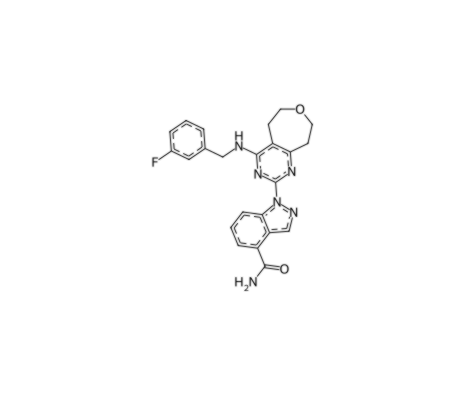 NC(=O)c1cccc2c1cnn2-c1nc2c(c(NCc3cccc(F)c3)n1)CCOCC2